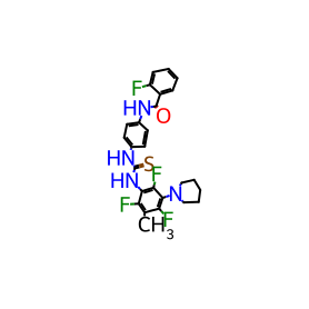 Cc1c(F)c(NC(=S)Nc2ccc(NC(=O)c3ccccc3F)cc2)c(F)c(N2CCCCC2)c1F